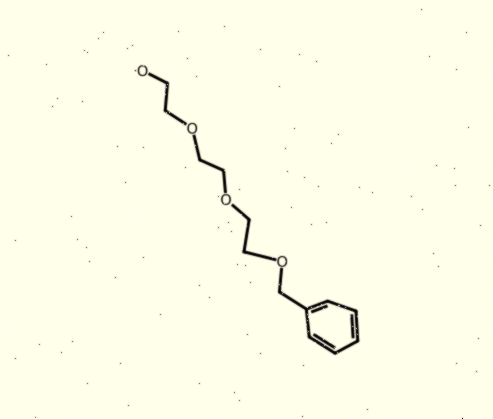 [O]CCOCCOCCOCc1ccccc1